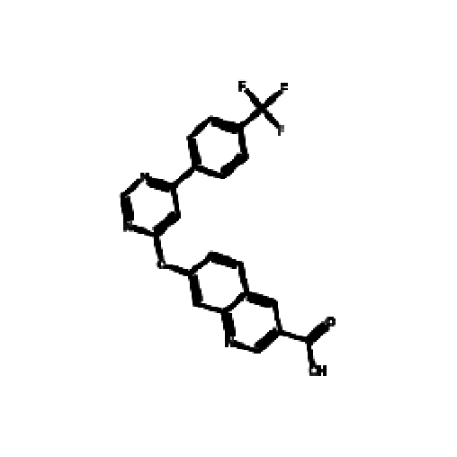 O=C(O)c1cnc2cc(Oc3cc(-c4ccc(C(F)(F)F)cc4)ncn3)ccc2c1